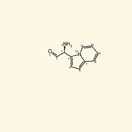 N[C@H](C=O)c1ccc2ccccn12